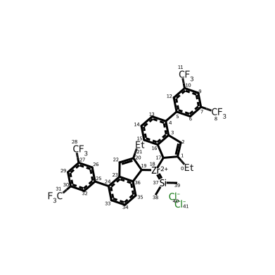 CCC1=Cc2c(-c3cc(C(F)(F)F)cc(C(F)(F)F)c3)cccc2[CH]1[Zr+2]([CH]1C(CC)=Cc2c(-c3cc(C(F)(F)F)cc(C(F)(F)F)c3)cccc21)=[Si](C)C.[Cl-].[Cl-]